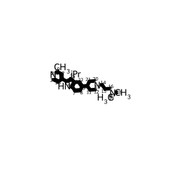 Cc1cc(-c2[nH]c3ccc(C4CCN(CCCN(C)C)CC4)cc3c2C(C)C)ccn1